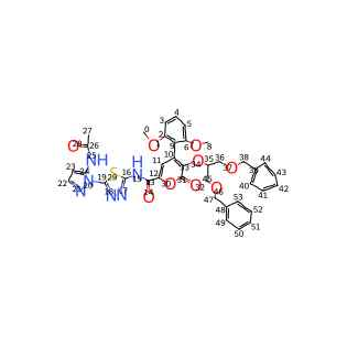 COc1cccc(OC)c1-c1cc(C(=O)Nc2nnc(-n3nccc3NC(C)=O)s2)oc(=O)c1OC(COCc1ccccc1)COCc1ccccc1